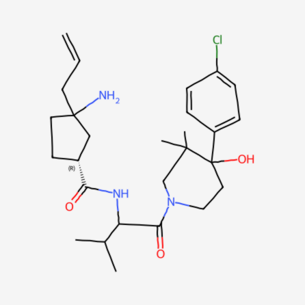 C=CCC1(N)CC[C@@H](C(=O)NC(C(=O)N2CCC(O)(c3ccc(Cl)cc3)C(C)(C)C2)C(C)C)C1